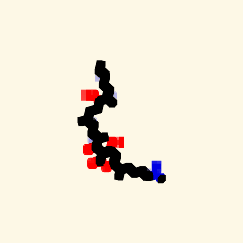 C/C=C/C/C=C(/C)C(O)CC/C(C)=C/C=C(\C)C(=O)c1c(O)cc(C(C)CC/C=C/NC)oc1=O